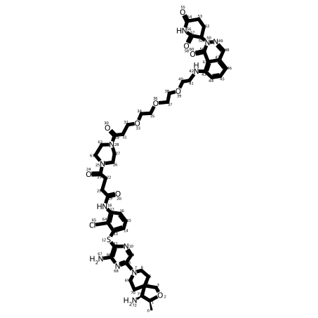 C[C@@H]1OCC2(CCN(c3cnc(Sc4cccc(NC(=O)CCC(=O)N5CCN(C(=O)CCOCCOCCOCCNc6cccc7cnn(C8CCC(=O)NC8=O)c(=O)c67)CC5)c4Cl)c(N)n3)CC2)[C@@H]1N